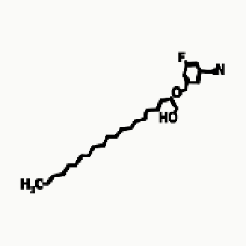 CCCCCCCCCCCCCCCCCCCC(CO)OCc1cc(F)cc(C#N)c1